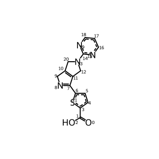 O=C(O)c1ccc(C2=NCC3=C2CN(c2ncccn2)C3)s1